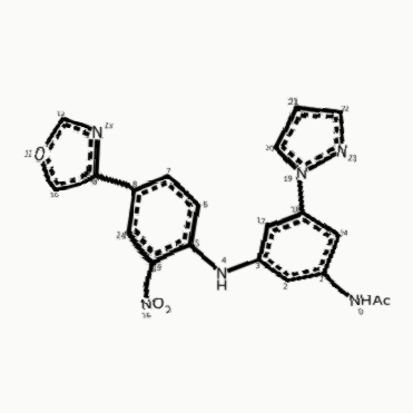 CC(=O)Nc1cc(Nc2ccc(-c3cocn3)cc2[N+](=O)[O-])cc(-n2cccn2)c1